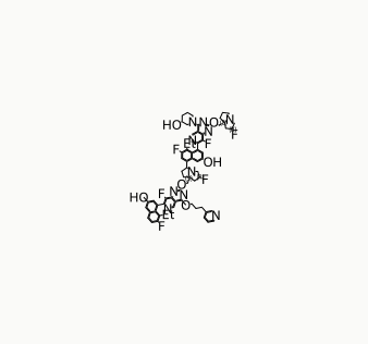 CCc1c(F)ccc2cc(O)cc(-c3ncc4c(OCCCc5cccnc5)nc(OC[C@@]56CCC(c7cc(F)c(CC)c8c(-c9ncc%10c(N%11CCCC(O)C%11)nc(OC[C@@]%11%12CCCN%11C[C@H](F)C%12)nc%10c9F)cc(O)cc78)N5C[C@H](F)C6)nc4c3F)c12